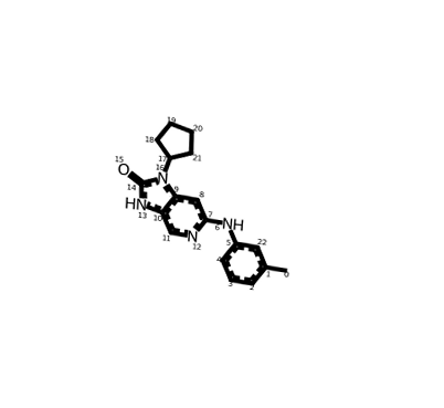 Cc1cccc(Nc2cc3c(cn2)[nH]c(=O)n3C2CCCC2)c1